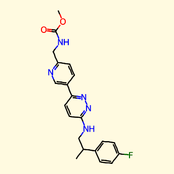 COC(=O)NCc1ccc(-c2ccc(NCC(C)c3ccc(F)cc3)nn2)cn1